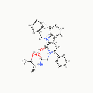 CC(C)C(NC(=O)Cn1c(-c2ccccc2)cc2c3cccc(C#N)c3n(Cc3ccccc3)c2c1=O)C(O)C(F)(F)F